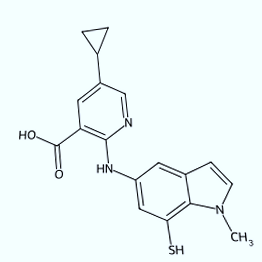 Cn1ccc2cc(Nc3ncc(C4CC4)cc3C(=O)O)cc(S)c21